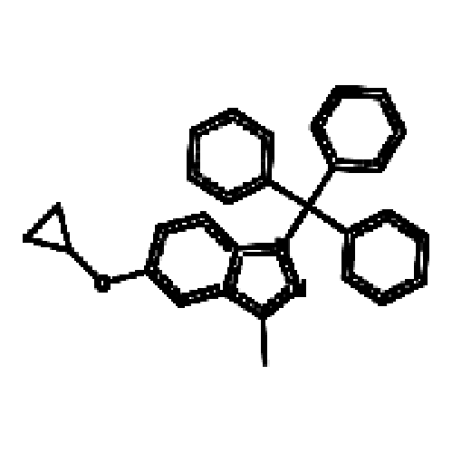 Cc1nn(C(c2ccccc2)(c2ccccc2)c2ccccc2)c2ccc(OC3CC3)cc12